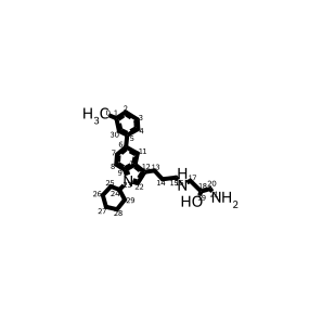 Cc1cccc(-c2ccc3c(c2)c(CCCNCC(O)CN)cn3C2CCCCC2)c1